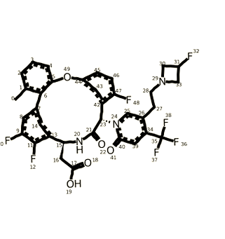 Cc1cccc2c1-c1cc(F)c(F)c(c1)[C@H](CC(=O)O)NC(=O)[C@@H](n1cc(CCN3CC(F)C3)c(C(F)(F)F)cc1=O)c1cc(ccc1F)O2